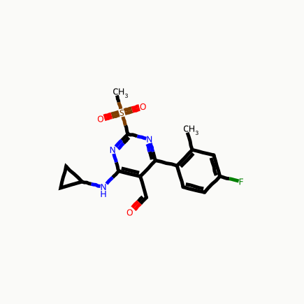 Cc1cc(F)ccc1-c1nc(S(C)(=O)=O)nc(NC2CC2)c1C=O